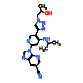 CC(O)Cn1cc(-c2cnc(-n3cnc4cc(C#N)cnc43)cc2NC(C)C)nn1